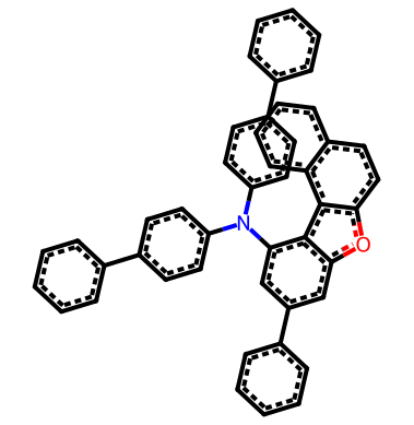 c1ccc(-c2ccc(N(c3ccc(-c4ccccc4)cc3)c3cc(-c4ccccc4)cc4oc5ccc6ccccc6c5c34)cc2)cc1